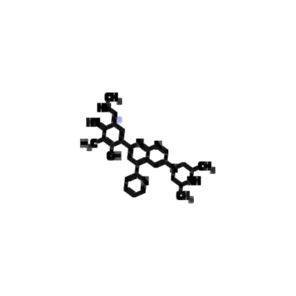 CN/C=C1/C=C(c2cc(-c3ccccn3)c3cc(N4CC(C)NC(C)C4)cnc3n2)C(O)=C(C)C1=N